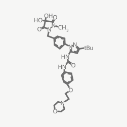 CN1C(=O)C(O)(O)C(=O)N1Cc1ccc(-n2nc(C(C)(C)C)cc2NC(=O)Nc2ccc(OCCN3CCOCC3)cc2)cc1